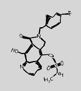 CNS(=O)(=O)Oc1c2c(c(O)c3ncccc13)C(=O)N(Cc1ccc(F)cc1)C2